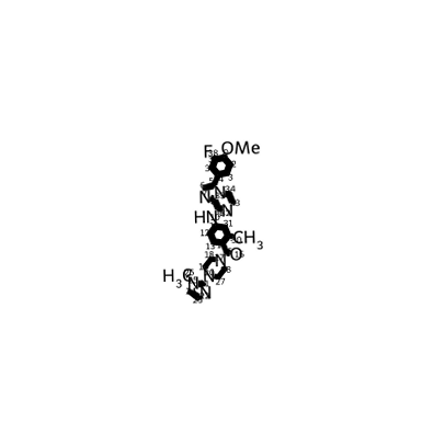 COc1ccc(-c2cnc3c(Nc4ccc(C(=O)N5CCN(c6nccn6C)CC5)c(C)c4)nccn23)cc1F